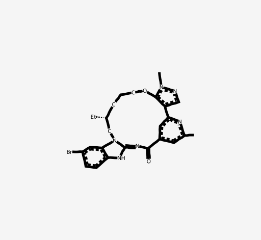 CC[C@@H]1CCCOc2c(cnn2C)-c2cc(cc(C)n2)C(=O)/N=C2\Nc3ccc(Br)cc3N2C1